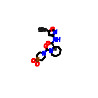 CC(C)(C)c1cc(NC(=O)[C@@H]2CCCCCN2C(=O)N2CCS(=O)(=O)CC2)no1